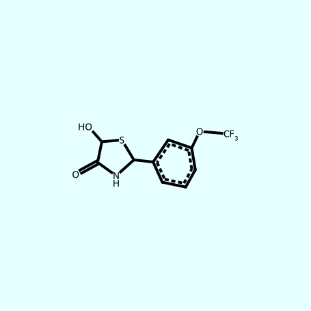 O=C1NC(c2cccc(OC(F)(F)F)c2)SC1O